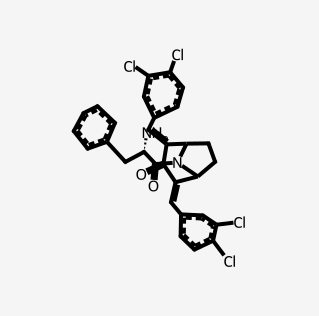 N[C@@H](Cc1ccccc1)C(=O)N1C2CCC1/C(=C\c1ccc(Cl)c(Cl)c1)C(=O)/C2=C/c1ccc(Cl)c(Cl)c1